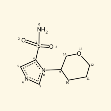 NS(=O)(=O)c1cncn1C1CCCOC1